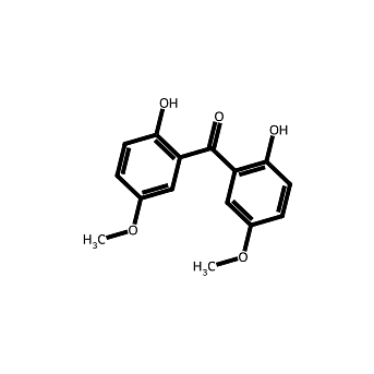 COc1ccc(O)c(C(=O)c2cc(OC)ccc2O)c1